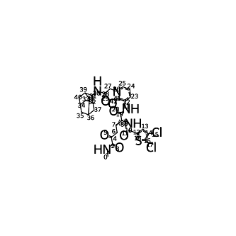 CNC(=O)C(=O)CC[C@H](NC(=O)c1cc(Cl)c(Cl)s1)C(=O)Nc1cccn(CC(=O)NC2C3CC4CC(C3)CC2C4)c1=O